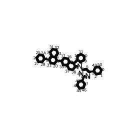 c1ccc(-c2cc(-n3c4ccccc4c4c5ccc(-c6ccc(-c7ccccc7)c7ccccc67)cc5ccc43)nc(-c3ccccc3)n2)cc1